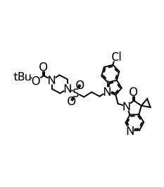 CC(C)(C)OC(=O)N1CCN(S(=O)(=O)CCCn2c(CN3C(=O)C4(CC4)c4ccncc43)cc3cc(Cl)ccc32)CC1